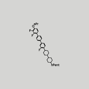 CCCCCC1CCC(C2CCC(c3ccc(-c4ccc(-c5ccc(OCCC)c(F)c5F)cc4)cc3F)CC2)CC1